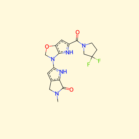 CN1Cc2cc(N3COc4cc(C(=O)N5CCC(F)(F)C5)[nH]c43)[nH]c2C1=O